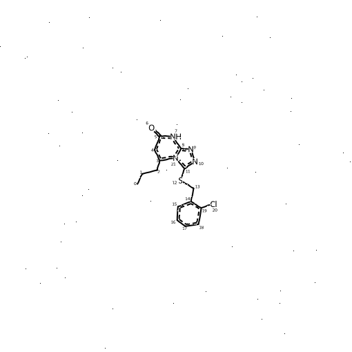 CCCc1cc(=O)[nH]c2nnc(SCc3ccccc3Cl)n12